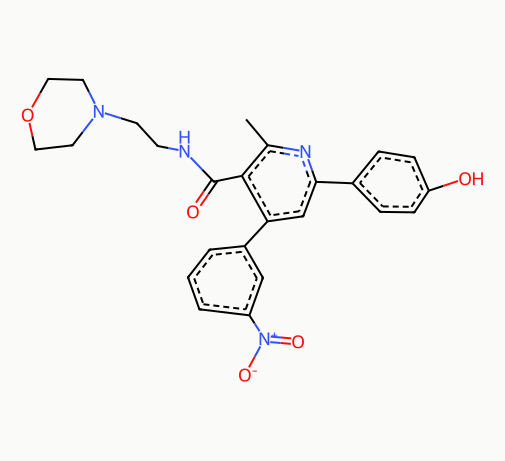 Cc1nc(-c2ccc(O)cc2)cc(-c2cccc([N+](=O)[O-])c2)c1C(=O)NCCN1CCOCC1